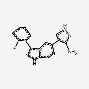 Nc1n[nH]cc1-c1cc2c(-c3ccccc3F)n[nH]c2cn1